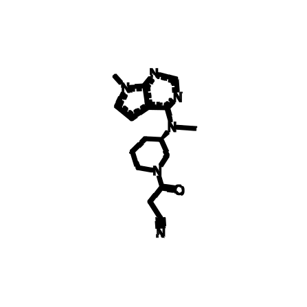 CN(c1ncnc2c1ccn2C)[C@@H]1CCCN(C(=O)CC#N)C1